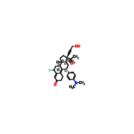 CC(=O)[C@@]1(C#CCO)CC[C@H]2[C@@H]3CC(F)C4=CC(=O)CCC4=C3[C@@H](c3ccc(N(C)C)cc3)C[C@@]21C